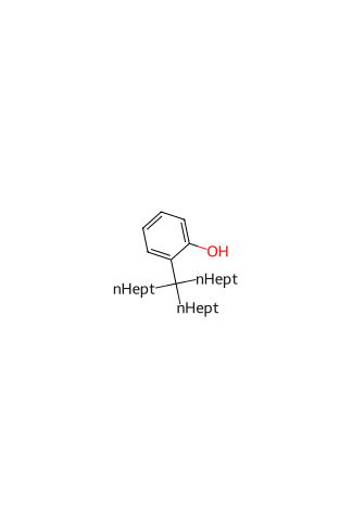 CCCCCCCC(CCCCCCC)(CCCCCCC)c1ccccc1O